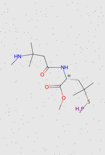 CNC(C)(C)CC(=O)N[C@H](CC(C)(C)SP)C(=O)OC